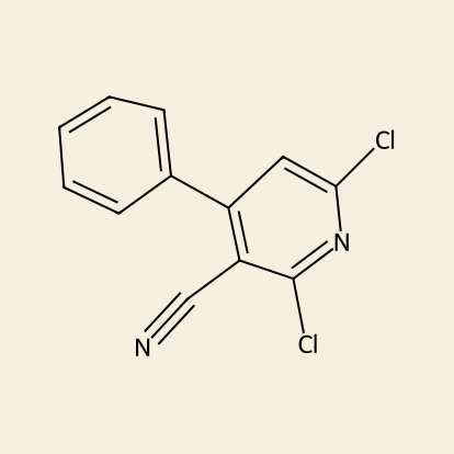 N#Cc1c(-c2ccccc2)cc(Cl)nc1Cl